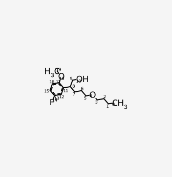 CCCCOCCCC(CO)c1cc(F)ccc1OC